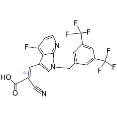 N#C/C(=C\c1cn(Cc2cc(C(F)(F)F)cc(C(F)(F)F)c2)c2nccc(F)c12)C(=O)O